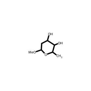 COC1CC(O)C(O)C(C)O1